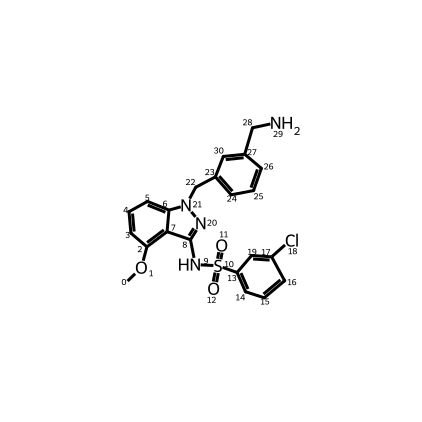 COc1cccc2c1c(NS(=O)(=O)c1cccc(Cl)c1)nn2Cc1cccc(CN)c1